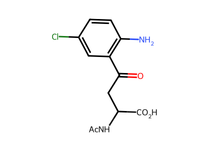 CC(=O)NC(CC(=O)c1cc(Cl)ccc1N)C(=O)O